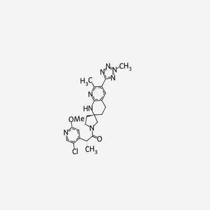 COc1cc([C@@H](C)C(=O)N2CC[C@@]3(CCc4cc(-c5nnn(C)n5)c(C)nc4N3)C2)c(Cl)cn1